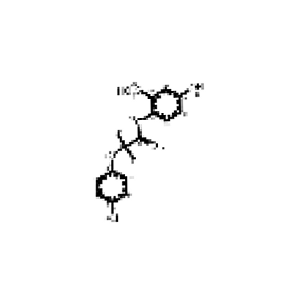 CC(C)(Oc1ccc(Cl)cc1)C(=O)Oc1ccc(O)cc1S(=O)(=O)O